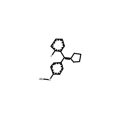 CCCCOc1ccc(C(=C2CCCC2)c2ccccc2F)cc1